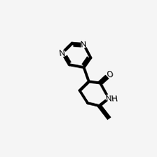 C=C1CCC(c2cncnc2)C(=O)N1